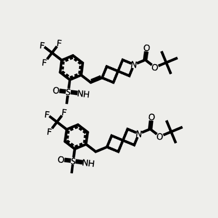 CC(C)(C)OC(=O)N1CC2(CC(=Cc3ccc(C(F)(F)F)cc3S(C)(=N)=O)C2)C1.CC(C)(C)OC(=O)N1CC2(CC(Cc3ccc(C(F)(F)F)cc3S(C)(=N)=O)C2)C1